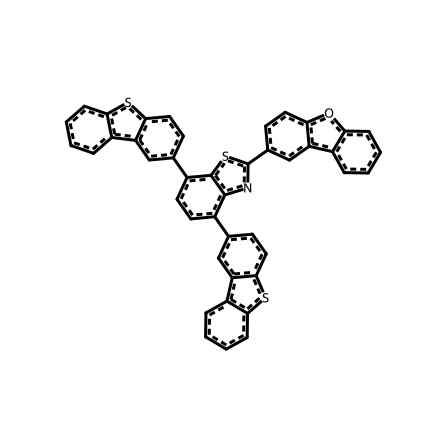 c1ccc2c(c1)oc1ccc(-c3nc4c(-c5ccc6sc7ccccc7c6c5)ccc(-c5ccc6sc7ccccc7c6c5)c4s3)cc12